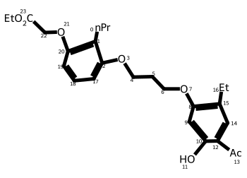 CCCc1c(OCCCOc2cc(O)c(C(C)=O)cc2CC)cccc1OCC(=O)OCC